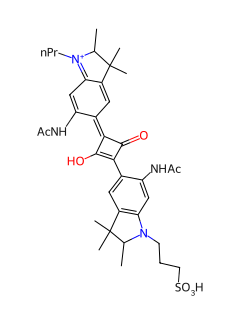 CCC[N+]1=c2cc(NC(C)=O)/c(=C3/C(=O)C(c4cc5c(cc4NC(C)=O)N(CCCS(=O)(=O)O)C(C)C5(C)C)=C3O)cc2C(C)(C)C1C